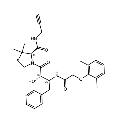 C#CCNC(=O)[C@H]1N(C(=O)[C@@H](O)[C@H](Cc2ccccc2)NC(=O)COc2c(C)cccc2C)CSC1(C)C